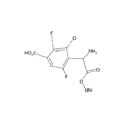 CC(C)(C)OC(=O)C(N)c1c(F)cc(C(=O)O)c(F)c1Cl